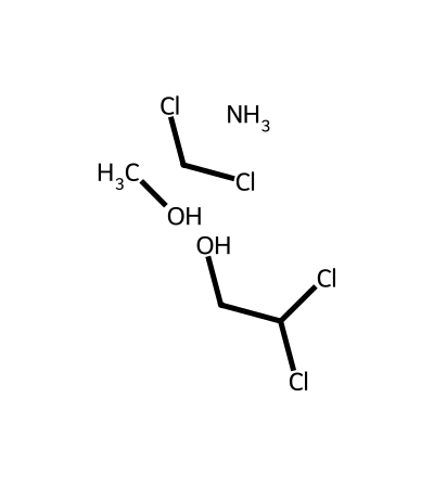 CO.ClCCl.N.OCC(Cl)Cl